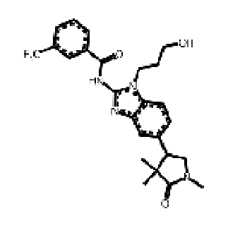 CN1CC(c2ccc3c(c2)nc(NC(=O)c2cccc(C(F)(F)F)c2)n3CCCO)C(C)(C)C1=O